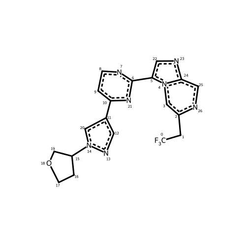 FC(F)(F)Cc1cn2c(-c3nccc(-c4cnn(C5CCOC5)c4)n3)cnc2cn1